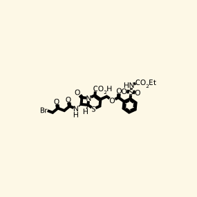 CCOC(=O)NS(=O)(=O)c1ccccc1C(=O)OCC1=C(C(=O)O)N2C(=O)[C@@H](NC(=O)CC(=O)CBr)[C@@H]2SC1